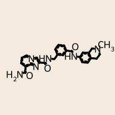 CN1CCc2ccc(NC(=O)c3cccc(CNC(=O)c4cn5cccc(C(N)=O)c5n4)c3)cc2C1